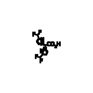 O=C(O)C(n1ccc(C(F)F)n1)n1ccc(C(F)F)n1